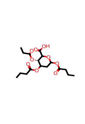 CCCC(=O)OC1CC(OC(=O)CCC)[C@H](OC(=O)CC)C(C(=O)O)O1